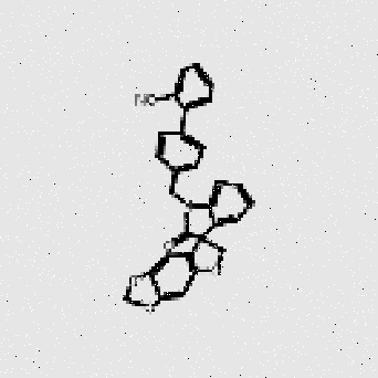 N#Cc1ccccc1-c1ccc(CN2C(=O)C3(COc4cc5c(cc43)OCO5)c3ccccc32)cc1